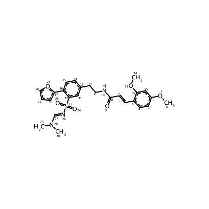 COc1ccc(/C=C/C(=O)NCCc2ccc(-c3ccco3)c(S(=O)(=O)N=CN(C)C)c2)c(OC)c1